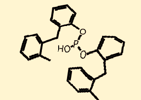 Cc1ccccc1Cc1ccccc1OP(O)Oc1ccccc1Cc1ccccc1C